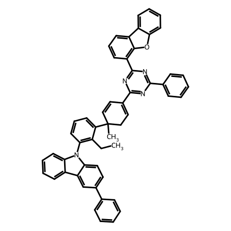 CCc1c(-n2c3ccccc3c3cc(-c4ccccc4)ccc32)cccc1C1(C)C=CC(c2nc(-c3ccccc3)nc(-c3cccc4c3oc3ccccc34)n2)=CC1